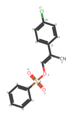 N#C/C(=C\OS(=O)(=O)c1ccccc1)c1ccc(Cl)cc1